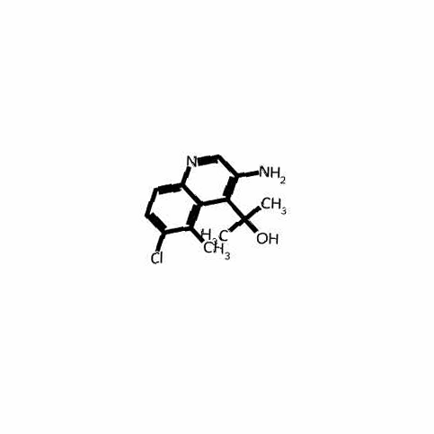 Cc1c(Cl)ccc2ncc(N)c(C(C)(C)O)c12